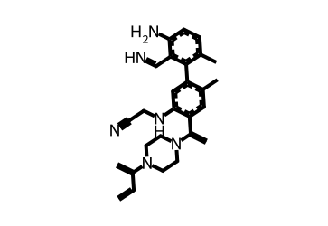 C=CC(=C)N1CCN(C(=C)c2cc(C)c(-c3c(C)ccc(N)c3C=N)cc2NCC#N)CC1